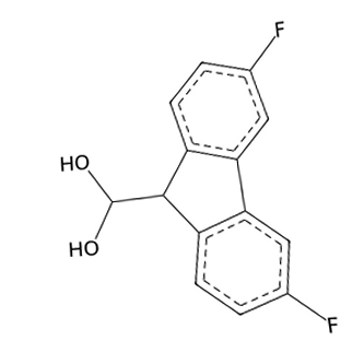 OC(O)C1c2ccc(F)cc2-c2cc(F)ccc21